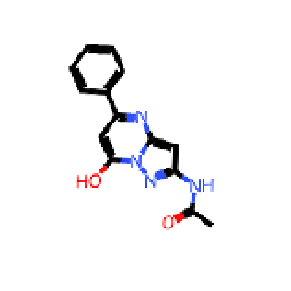 CC(=O)Nc1cc2nc(-c3ccccc3)cc(O)n2n1